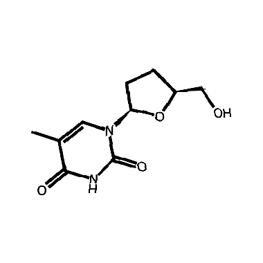 Cc1cn([C@H]2CC[C@@H]([CH]O)O2)c(=O)[nH]c1=O